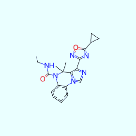 CCNC(=O)N1c2ccccc2-n2cnc(-c3noc(C4CC4)n3)c2C1(C)C